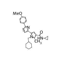 COc1ccc(-c2nc(-c3cc(C(=O)NC4CC4)c(C)n3CC3CCCCC3)cs2)cc1